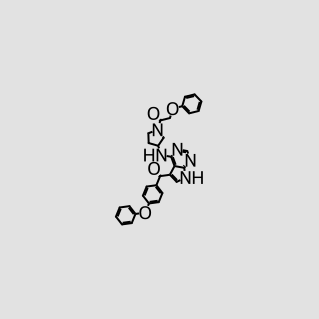 O=C(c1ccc(Oc2ccccc2)cc1)c1c[nH]c2ncnc(NC3CCN(C(=O)COc4ccccc4)C3)c12